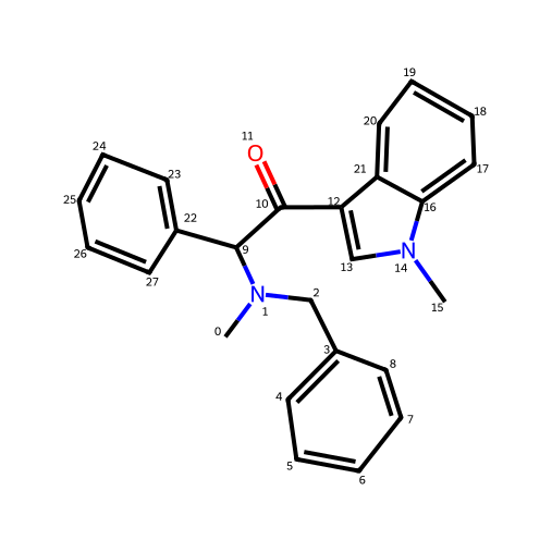 CN(Cc1ccccc1)C(C(=O)c1cn(C)c2ccccc12)c1ccccc1